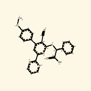 COc1ccc(-c2cc(-c3ncccn3)nc(SC(C(=O)O)c3ccccc3)c2C#N)cc1